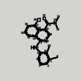 Cc1cccc(Nc2ncc(C(=O)N(C)C)c3c(Cl)cccc23)c1C